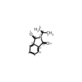 C=C(C)N1C(=O)c2ccccc2C1=O